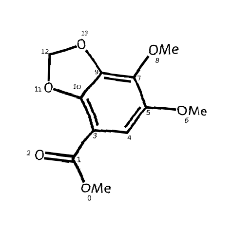 COC(=O)c1cc(OC)c(OC)c2c1OCO2